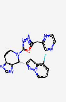 Fc1cccn2nc([C@@H]3c4nc[nH]c4CCN3c3nnc(-c4cnccn4)o3)cc12